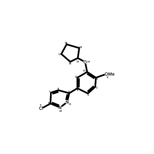 COc1ccc(-c2ccc(Cl)nn2)cc1OC1CCCC1